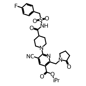 CC(C)OC(=O)c1cc(C#N)c(N2CCC(C(=O)NS(=O)(=O)Cc3ccc(F)cc3)CC2)nc1CN1CCCC1=O